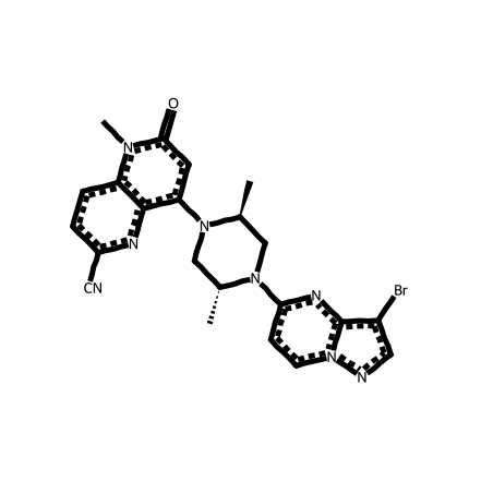 C[C@@H]1CN(c2cc(=O)n(C)c3ccc(C#N)nc23)[C@@H](C)CN1c1ccn2ncc(Br)c2n1